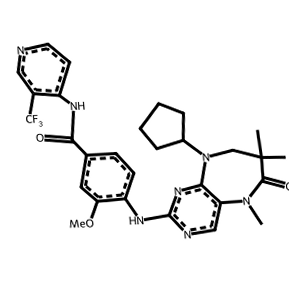 COc1cc(C(=O)Nc2ccncc2C(F)(F)F)ccc1Nc1ncc2c(n1)N(C1CCCC1)CC(C)(C)C(=O)N2C